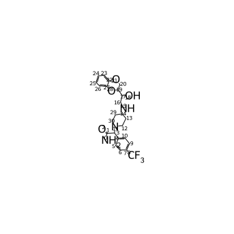 NC(=O)C(c1ccc(C(F)(F)F)cc1)N1CCC(NCC(O)C2COc3ccccc3O2)CC1